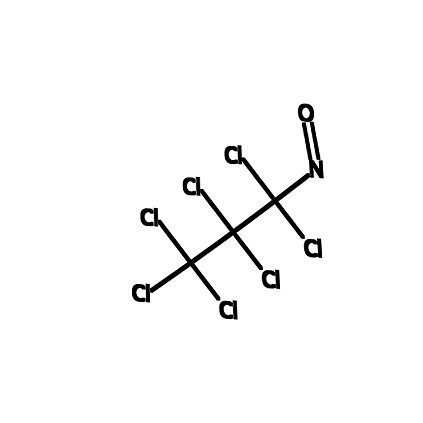 O=NC(Cl)(Cl)C(Cl)(Cl)C(Cl)(Cl)Cl